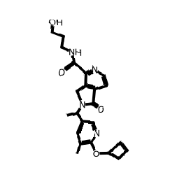 Cc1cc(C(C)N2Cc3c(ccnc3C(=O)NCCCO)C2=O)cnc1OC1CCC1